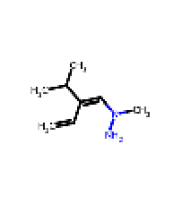 C=C/C(=C\N(C)N)C(C)C